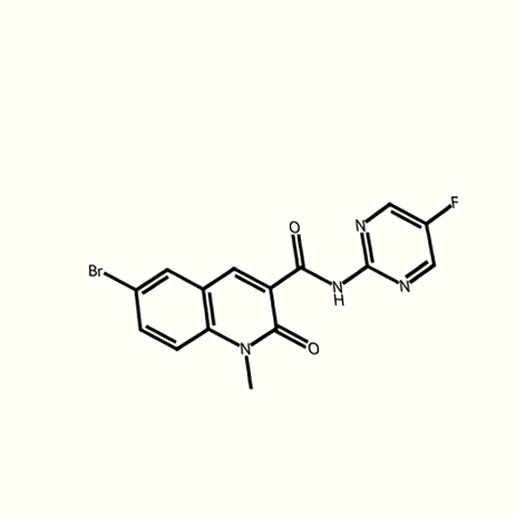 Cn1c(=O)c(C(=O)Nc2ncc(F)cn2)cc2cc(Br)ccc21